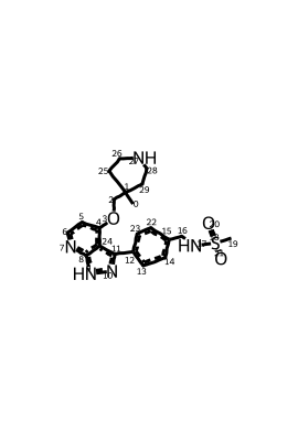 CC1(COc2ccnc3[nH]nc(-c4ccc(CNS(C)(=O)=O)cc4)c23)CCNCC1